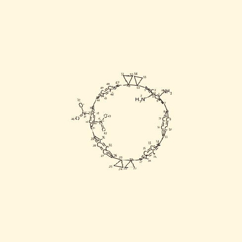 Nc1cc2c(N)cc1-c1ccc(cc1)-c1ccc(cc1)C1(CC1)C1(CC1)c1ccc(cc1)-c1cc([N+](=O)[O-])c(cc1[N+](=O)[O-])-c1ccc(cc1)C1(CC1)C21CC1